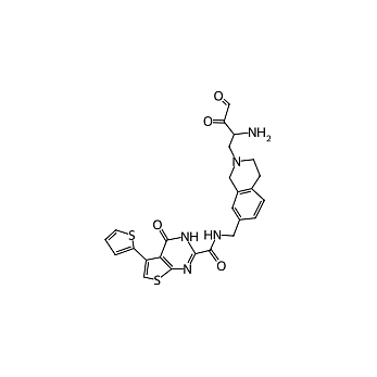 NC(CN1CCc2ccc(CNC(=O)c3nc4scc(-c5cccs5)c4c(=O)[nH]3)cc2C1)C(=O)C=O